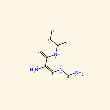 C=C(NC(C)CC)/C(N)=C\NCN